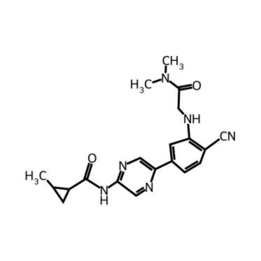 CC1CC1C(=O)Nc1cnc(-c2ccc(C#N)c(NCC(=O)N(C)C)c2)cn1